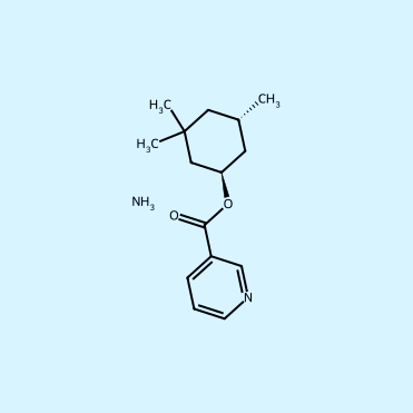 C[C@@H]1C[C@@H](OC(=O)c2cccnc2)CC(C)(C)C1.N